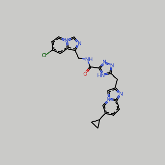 O=C(NCc1ncn2ccc(Cl)cc12)c1nnc(Cc2cn3cc(C4CC4)ccc3n2)[nH]1